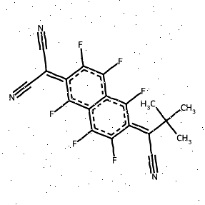 CC(C)(C)/C(C#N)=c1/c(F)c(F)c2c(F)c(=C(C#N)C#N)c(F)c(F)c2c1F